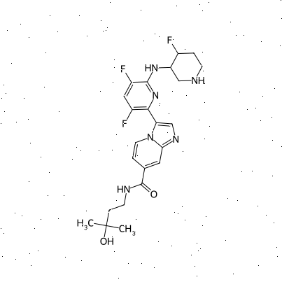 CC(C)(O)CCNC(=O)c1ccn2c(-c3nc(NC4CNCCC4F)c(F)cc3F)cnc2c1